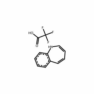 C1=CNc2ccccc2C=C1.O=C(O)C(F)(F)F